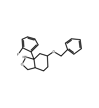 Fc1ccccc1C12CC(OCc3ccccc3)CCC1CON2